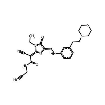 C#CCNC(=O)C(C#N)=c1sc(=CNc2cccc(CCN3CCSCC3)c2)c(=O)n1CC